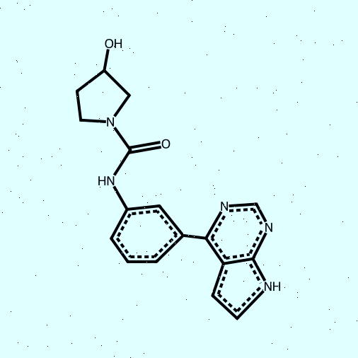 O=C(Nc1cccc(-c2ncnc3[nH]ccc23)c1)N1CCC(O)C1